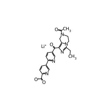 CCc1nc(C(=O)c2ccc(-c3ccc(C(=O)[O-])nc3)nc2)c2n1CCN(C(C)=O)C2.[Li+]